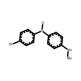 CC(C)c1ccc([S+]([O-])c2ccc(NC(C)(C)C)cc2)cc1